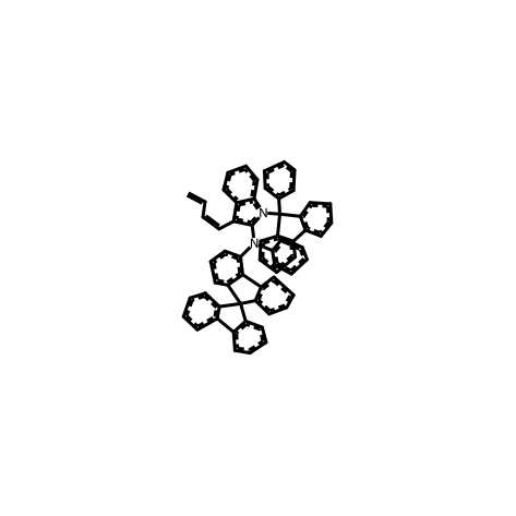 C=C/C=C\c1c(N(c2ccccc2)c2cccc3c2-c2ccccc2C32c3ccccc3-c3ccccc32)n(C2(c3ccccc3)c3ccccc3-c3ccccc32)c2ccccc12